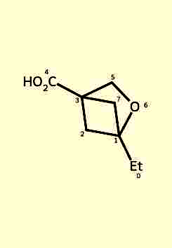 CCC12CC(C(=O)O)(CO1)C2